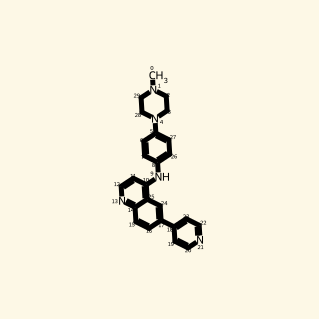 CN1CCN(c2ccc(Nc3ccnc4ccc(-c5ccncc5)cc34)cc2)CC1